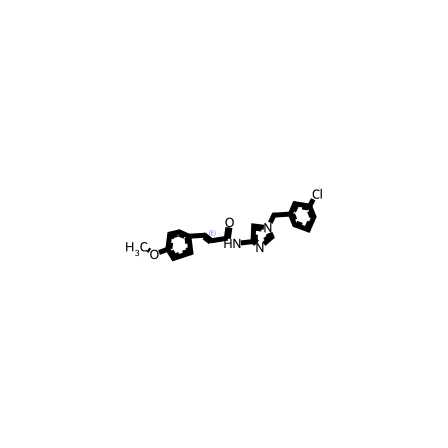 COc1ccc(/C=C/C(=O)Nc2cn(Cc3cccc(Cl)c3)cn2)cc1